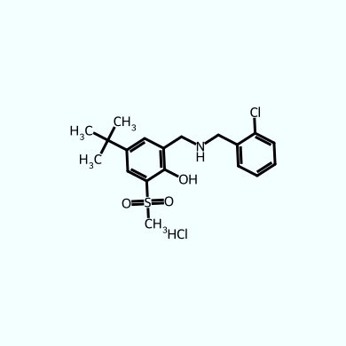 CC(C)(C)c1cc(CNCc2ccccc2Cl)c(O)c(S(C)(=O)=O)c1.Cl